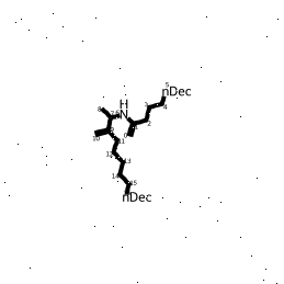 C=C(CCCCCCCCCCCCC)NC(C)C(=C)CCCCCCCCCCCCCCC